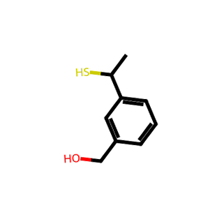 CC(S)c1cccc(CO)c1